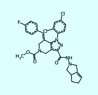 COC(=O)N1CC(=Cc2ccc(F)cc2)c2c(c(C(=O)NN3CC4=CCCC4C3)nn2-c2ccc(Cl)cc2Cl)C1